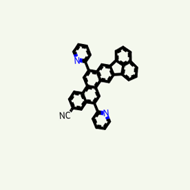 N#Cc1ccc2c(c1)c(-c1ccccn1)cc1c3cc4c(cc3c(-c3ccccn3)cc21)-c1cccc2cccc-4c12